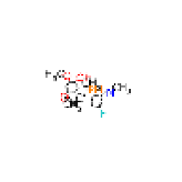 CCC(C)(Pc1ccc(F)cc1/C=N/C)c1cc(OC)cc(OC)c1O